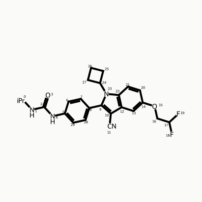 CC(C)NC(=O)Nc1ccc(-c2c(C#N)c3cc(OCC(F)F)ccc3n2C2CCC2)cc1